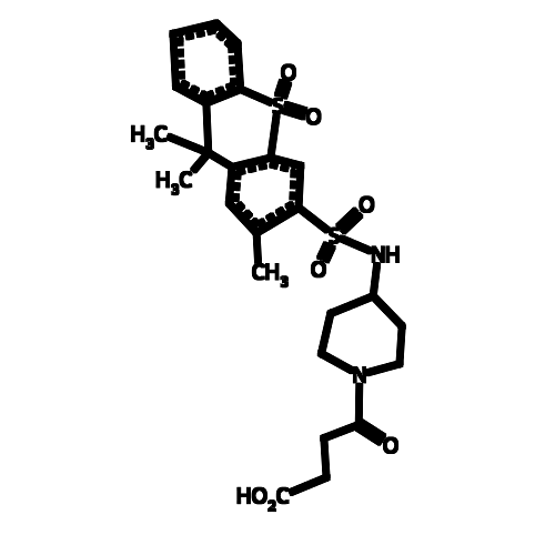 Cc1cc2c(cc1S(=O)(=O)NC1CCN(C(=O)CCC(=O)O)CC1)S(=O)(=O)c1ccccc1C2(C)C